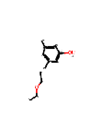 CCOCC.Cc1cc(C)cc(O)c1